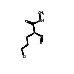 CNC(=O)N(CCCCl)N=O